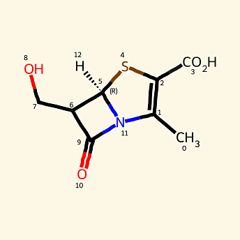 CC1=C(C(=O)O)S[C@@H]2C(CO)C(=O)N12